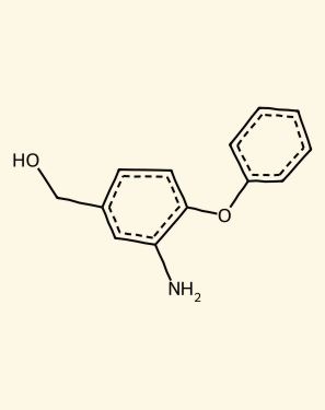 Nc1cc(CO)ccc1Oc1ccccc1